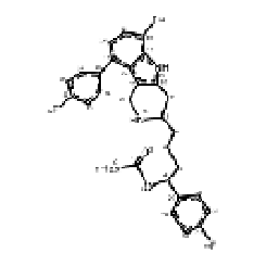 CCCCCCC(=O)OC(CCCC1Cc2[nH]c3c(F)ccc(-c4ccc(F)cc4)c3c2CN1)c1ccc(F)cc1